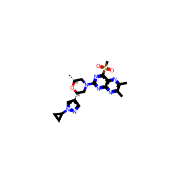 Cc1nc2nc(N3C[C@@H](C)O[C@@H](c4cnn(C5CC5)c4)C3)nc(S(C)(=O)=O)c2nc1C